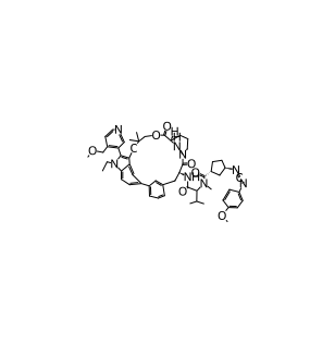 CCn1c(-c2cnccc2COC)c2c3cc(ccc31)-c1cccc(c1)C[C@H](NC(=O)C(C(C)C)N(C)C(=O)[C@@H]1CC[C@@H](N=C=Nc3ccc(OC)cc3)C1)C(=O)N1CCC[C@H](N1)C(=O)OCC(C)(C)C2